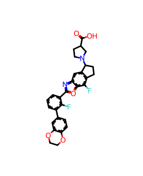 O=C(O)C1CCN(C2CCc3c2cc2nc(-c4cccc(-c5ccc6c(c5)OCCO6)c4F)oc2c3F)C1